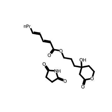 CCCC=CC=CC(=O)OCCCC1(O)CCOC(=O)C1.O=C1CCC(=O)N1